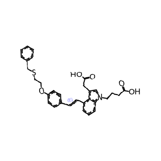 O=C(O)CCCn1cc(CC(=O)O)c2c(/C=C/c3ccc(OCCSCc4ccccc4)cc3)cccc21